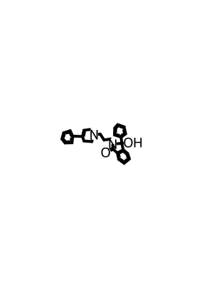 O=C1c2ccccc2C(O)(c2ccccc2)N1CCCN1CC=C(c2ccccc2)CC1